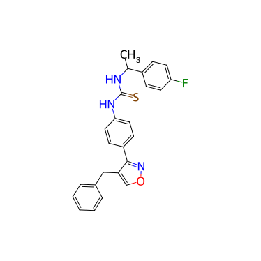 CC(NC(=S)Nc1ccc(-c2nocc2Cc2ccccc2)cc1)c1ccc(F)cc1